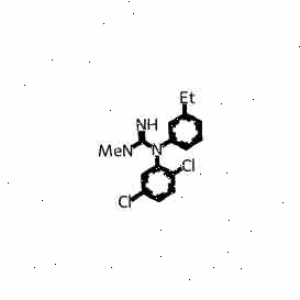 CCc1cccc(N(C(=N)NC)c2cc(Cl)ccc2Cl)c1